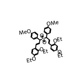 CCOc1ccc(C=CC(c2ccc(OC)cc2)S(=O)(=O)C(C=Cc2ccc(OCC)cc2OCC)c2ccc(OC)cc2)c(OCC)c1